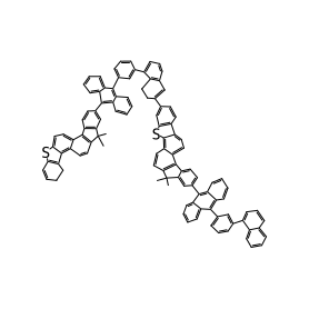 CC1(C)c2cc(-c3c4ccccc4c(-c4cccc(-c5cccc6ccccc56)c4)c4ccccc34)ccc2-c2c1ccc1c2ccc2c3ccc(C4=Cc5cccc(-c6cccc(-c7c8ccccc8c(-c8ccc9c(c8)C(C)(C)c8ccc%10c(ccc%11sc%12c(c%11%10)CCC=C%12)c8-9)c8ccccc78)c6)c5CC4)cc3sc12